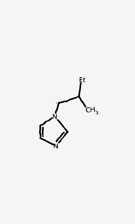 CCC(C)[CH]n1ccnc1